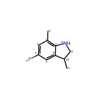 Cc1cc(F)cc2c1NCC2C